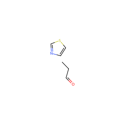 CCC=O.c1cscn1